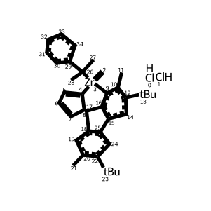 Cl.Cl.[CH2]=[Zr]([C]1=CC=CC1)([c]1c(C)c(C(C)(C)C)cc2c1Cc1cc(C)c(C(C)(C)C)cc1-2)[C](C)(C)c1ccccc1